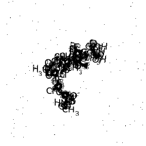 CC1COc2ccccc2N1C(=O)C(Cl)Cl.CCc1cccc(C)c1N(C(=O)CCl)C(C)COC.CS(=O)(=O)NC(=O)c1cc(Oc2ccc(C(F)(F)F)cc2Cl)ccc1[N+](=O)[O-].CS(=O)(=O)c1cc(C(F)(F)F)ccc1C(=O)c1cnoc1C1CC1.C[S+](C)C.O=C(O)CNCP(=O)([O-])O